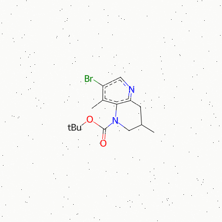 Cc1c(Br)cnc2c1N(C(=O)OC(C)(C)C)CC(C)C2